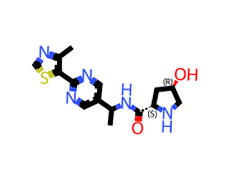 Cc1ncsc1-c1ncc(C(C)NC(=O)[C@@H]2C[C@@H](O)CN2)cn1